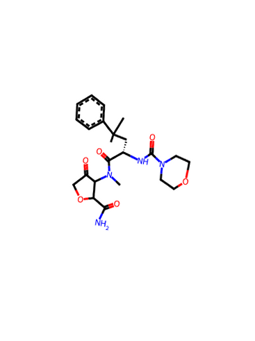 CN(C(=O)[C@H](CC(C)(C)c1ccccc1)NC(=O)N1CCOCC1)C1C(=O)COC1C(N)=O